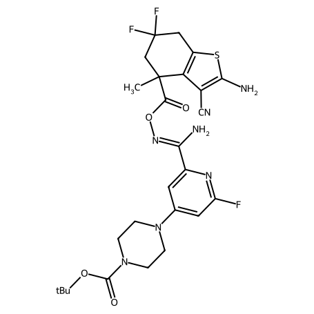 CC(C)(C)OC(=O)N1CCN(c2cc(F)nc(/C(N)=N/OC(=O)C3(C)CC(F)(F)Cc4sc(N)c(C#N)c43)c2)CC1